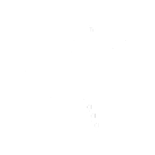 CC(C)(C)C1=CCC(C(C)(c2ccccc2)c2ccccc2)=[C]1[Ti+3].[Cl-].[Cl-].[Cl-]